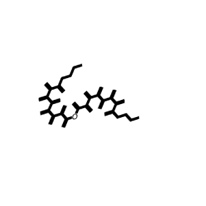 C=C(CCCC)C(=C)C(=C)C(=C)C(=C)C(=C)C(=C)C(=C)OC(=C)C(=C)C(=C)C(=C)C(=C)C(=C)C(=C)C(=C)CCCC